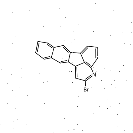 Brc1cc2c3c(cccc3n1)-c1cc3ccccc3cc1-2